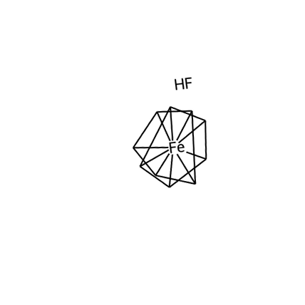 F.[CH]12[CH]3[CH]4[CH]5[CH]1[Fe]23451678[CH]2[CH]1[CH]6[CH]7[CH]28